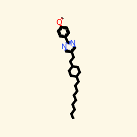 CCCCCCCCCC1CCC(CCc2cnc(-c3ccc(OC)cc3)nc2)CC1